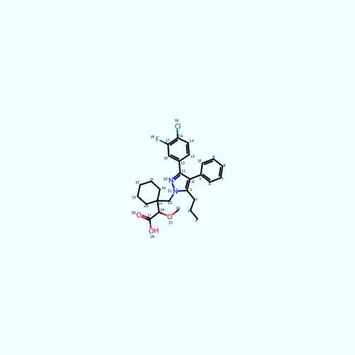 CCCc1c(-c2ccccc2)c(-c2ccc(Cl)c(F)c2)nn1CC1(C(OC)C(=O)O)CCCCC1